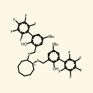 CC(C)(C)c1cc(CSC2CCCCCC[C@@H]2SCc2cc(C(C)(C)C)cc(-c3c(F)c(F)c(F)c(F)c3F)c2O)c(O)c(-c2c(F)c(F)c(F)c(F)c2F)c1